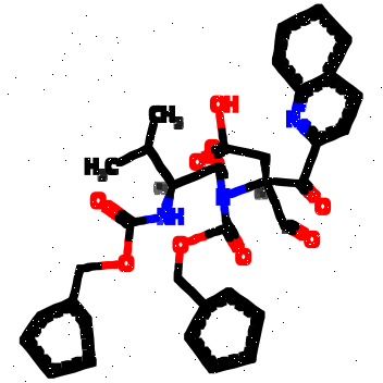 CC(C)[C@H](NC(=O)OCc1ccccc1)C(=O)N(C(=O)OCc1ccccc1)[C@]([C]=O)(CC(=O)O)C(=O)c1ccc2ccccc2n1